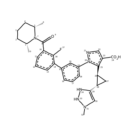 C[C@@H]1CCC[C@H](C)N1C(=O)c1cccc(-c2cccc(-n3ncc(C(=O)O)c3[C@H]3C[C@@H]3C3=CN(C)NN3)c2)c1F